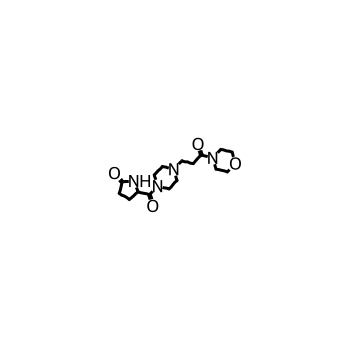 O=C1CCC(C(=O)N2CCN(CCC(=O)N3CCOCC3)CC2)N1